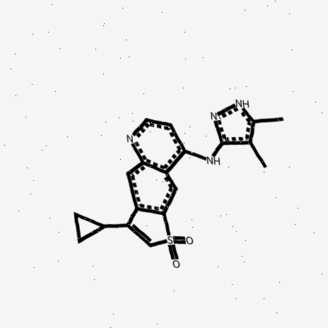 Cc1[nH]nc(Nc2ccnc3cc4c(cc23)S(=O)(=O)C=C4C2CC2)c1C